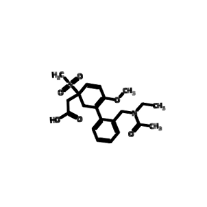 CCN(Cc1ccccc1C1=C(OC)C=CC(CC(=O)O)(S(C)(=O)=O)C1)C(C)=O